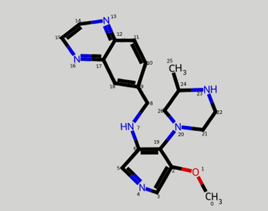 COc1cncc(NCc2ccc3nccnc3c2)c1N1CCNC(C)C1